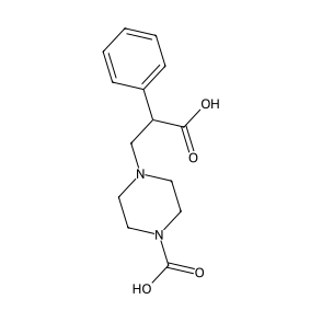 O=C(O)C(CN1CCN(C(=O)O)CC1)c1ccccc1